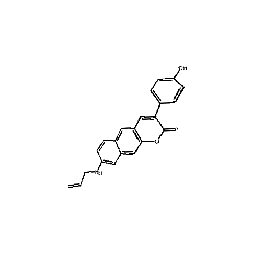 C=CCNc1ccc2cc3cc(-c4ccc(O)cc4)c(=O)oc3cc2c1